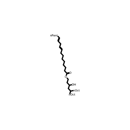 CCCCC/C=C/C/C=C/CCCCCCCC(=O)OCCC(O)CC(CCCCCCCC)CCCCCCCC